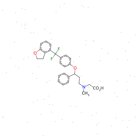 CN(CCC(Oc1ccc(C(F)(F)c2cccc3c2CCO3)cc1)c1ccccc1)CC(=O)O